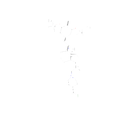 C=C1C(O[Si](C)(C)C(C)(C)C)CC(=C/C=C2\CCC[C@]3(C)[C@@H]([C@@H](C)CN4CCC(C(F)F)CC4)CC[C@@H]23)CC1O[Si](C)(C)C(C)(C)C